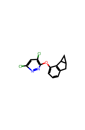 Clc1cc(Cl)c(Oc2cccc3c2C2CC2C3)nn1